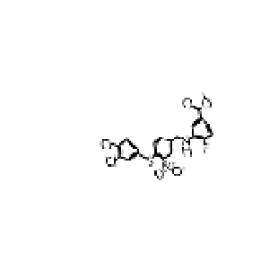 COC(=O)c1ccc(F)c(NCc2ccc(Sc3ccc(Cl)c(Cl)c3)c([N+](=O)[O-])c2)c1